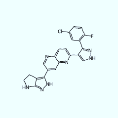 Fc1ccc(Cl)cc1-c1n[nH]cc1-c1ccc2ncc(-c3[nH]nc4c3CCN4)cc2n1